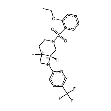 CCOc1ccccc1S(=O)(=O)N1CC[C@H]2CN(c3ccc(C(F)(F)F)cn3)[C@H]2C1